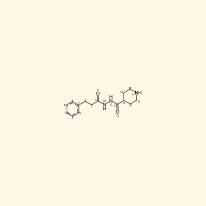 O=C(CCc1ccccc1)NNC(=O)C1CCNCC1